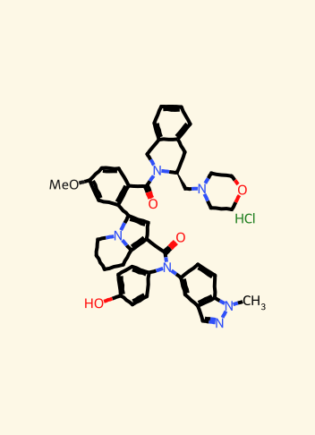 COc1ccc(C(=O)N2Cc3ccccc3C[C@H]2CN2CCOCC2)c(-c2cc(C(=O)N(c3ccc(O)cc3)c3ccc4c(cnn4C)c3)c3n2CCCC3)c1.Cl